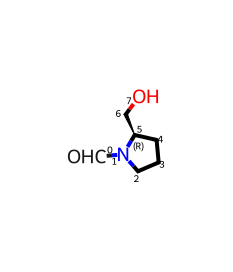 O=CN1CCC[C@@H]1CO